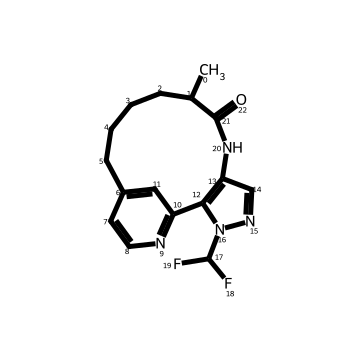 CC1CCCCc2ccnc(c2)-c2c(cnn2C(F)F)NC1=O